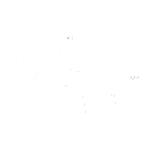 COc1cccc2c1cc(CO)n2Cc1ccccc1